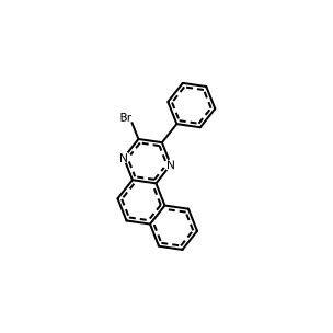 Brc1nc2ccc3ccccc3c2nc1-c1ccccc1